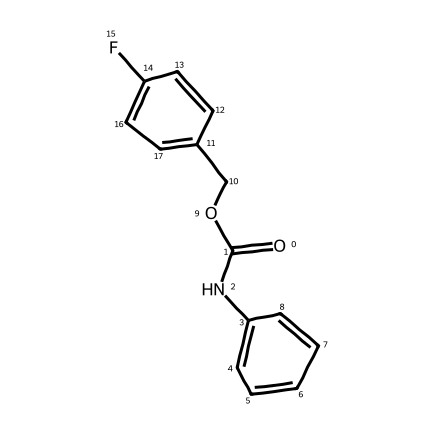 O=C(Nc1ccccc1)OCc1ccc(F)cc1